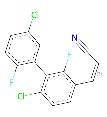 N#C/C=C\c1ccc(Cl)c(-c2cc(Cl)ccc2F)c1F